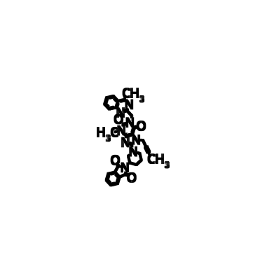 CC#CCn1c(N2CCC[C@H](N3C(=O)c4ccccc4C3=O)C2)nc2c1c(=O)n(Cc1nc(C)c3ccccc3n1)c(=O)n2C